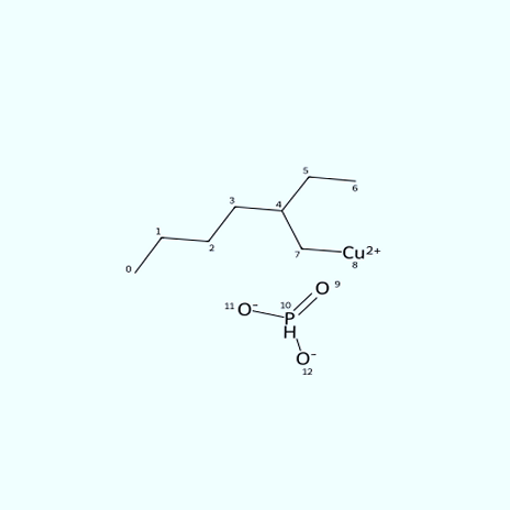 CCCCC(CC)[CH2][Cu+2].O=[PH]([O-])[O-]